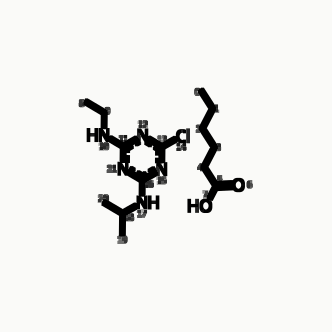 CCCCCC(=O)O.CCNc1nc(Cl)nc(NC(C)C)n1